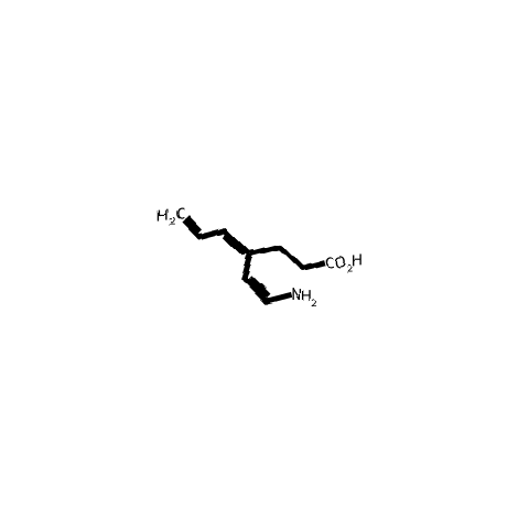 C=C/C=C(\C=C/N)CCC(=O)O